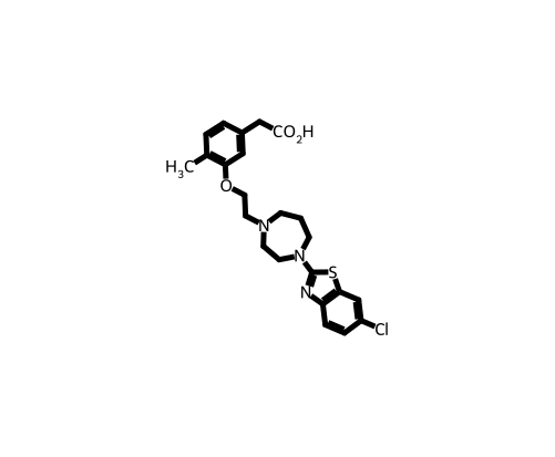 Cc1ccc(CC(=O)O)cc1OCCN1CCCN(c2nc3ccc(Cl)cc3s2)CC1